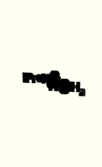 CC(C)[C@H]1CC[C@@H](N2CCC3(CC2)C(=O)N(CCNS(N)(=O)=O)Cc2ccccc23)CC1